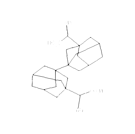 CCCC(C(=O)O)C12CC3CC(C1)CC(C14CC5CC(CC(C(CCC)C(=O)O)(C5)C1)C4)(C3)C2